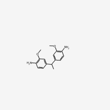 COc1cc(C(C)c2ccc(N)c(OC)c2)ccc1N